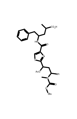 CC(=O)OC(CC(C(C)C)N(C)C(=O)OC(C)(C)C)c1nc(C(=O)NC(Cc2ccccc2)CC(C)C(=O)O)cs1